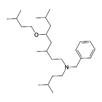 CC(C)CCOC(CC(C)C)CC(C)CCN(CCC(C)C)Cc1ccccc1